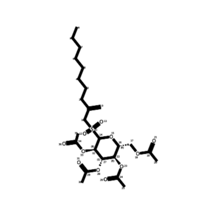 C=C(CCCCCCCC)CS(=O)(=O)C1O[C@H](COC(C)=O)[C@@H](OC(C)=O)[C@H](OC(C)=O)[C@H]1OC(C)=O